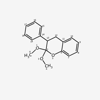 COC1(OC)Oc2ccccc2CC1c1ccccc1